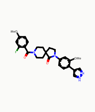 COc1ccc(C(=O)N2CCC3(CC2)CCN(c2ccc(-c4cn[nH]c4)c(OC)c2)C3=O)c(F)c1